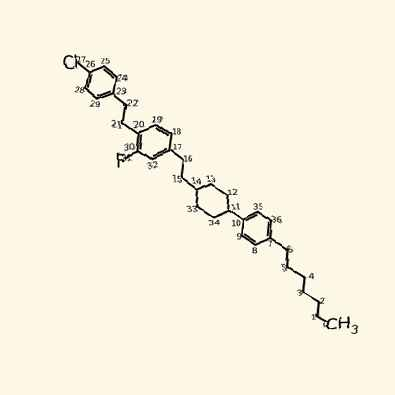 CCCCCCCc1ccc(C2CCC(CCc3ccc(CCc4ccc(Cl)cc4)c(F)c3)CC2)cc1